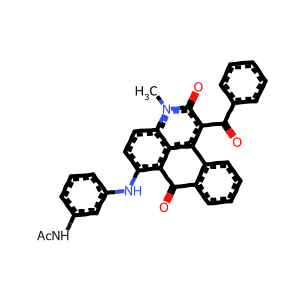 CC(=O)Nc1cccc(Nc2ccc3c4c2C(=O)c2ccccc2-c4c(C(=O)c2ccccc2)c(=O)n3C)c1